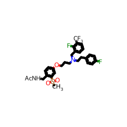 CC(=O)NCc1ccc(OCCCN(CCc2ccc(F)cc2)Cc2cccc(C(F)(F)F)c2F)cc1S(C)(=O)=O